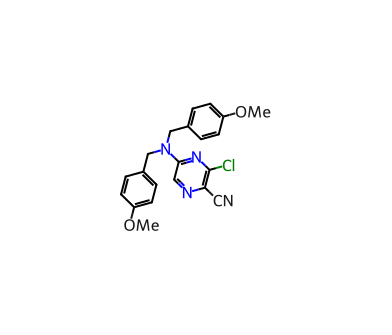 COc1ccc(CN(Cc2ccc(OC)cc2)c2cnc(C#N)c(Cl)n2)cc1